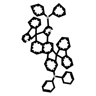 C1=CCCC(N(c2ccc3c(c2)C2(c4ccccc4-c4ccccc42)c2cc4c5c(cccc5c2-3)C2(c3ccccc3-c3ccccc32)c2cc(N(c3ccccc3)c3ccccc3)ccc2-4)C2C=CC=CC2)=C1